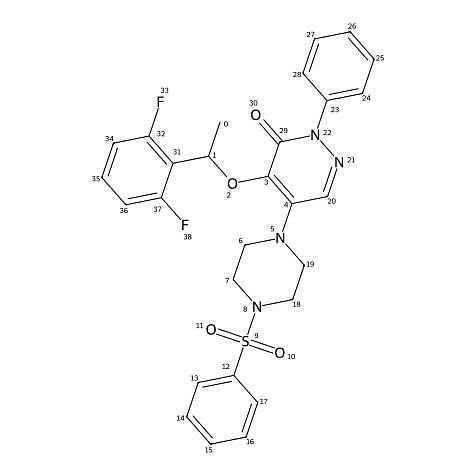 CC(Oc1c(N2CCN(S(=O)(=O)c3ccccc3)CC2)cnn(-c2ccccc2)c1=O)c1c(F)cccc1F